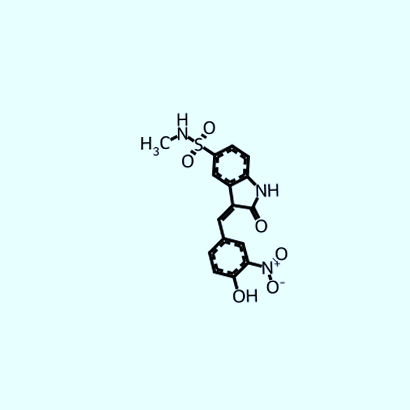 CNS(=O)(=O)c1ccc2c(c1)C(=Cc1ccc(O)c([N+](=O)[O-])c1)C(=O)N2